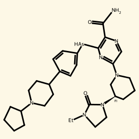 CCN1CCN([C@@H]2CCCN(c3cnc(C(N)=O)c([AsH]c4ccc(C5CCN(C6CCCC6)CC5)cc4)n3)C2)C1=O